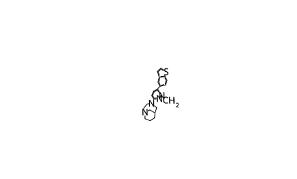 [CH2].c1cc2cc(-c3ccc(N4CCN5CCCC(C5)C4)nn3)ccc2s1